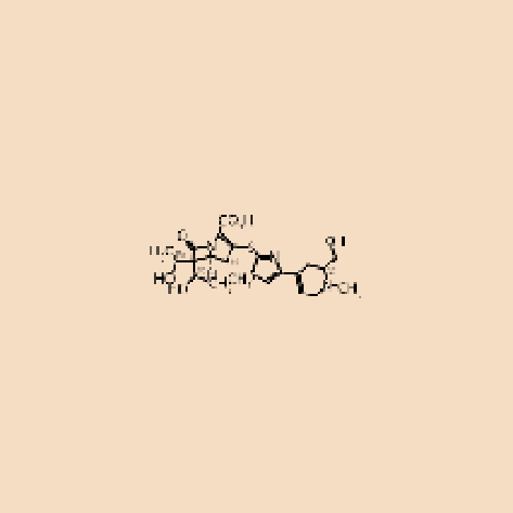 C[C@H]1C(Sc2nc(C3=CCN(C)[C@H](CO)C3)cs2)=C(C(=O)O)N2C(=O)C([C@@H](C)O)([C@@H](C)O)[C@H]12